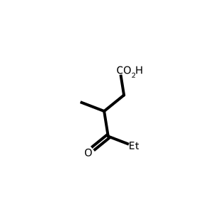 CCC(=O)C(C)CC(=O)O